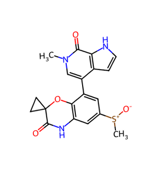 Cn1cc(-c2cc([S+](C)[O-])cc3c2OC2(CC2)C(=O)N3)c2cc[nH]c2c1=O